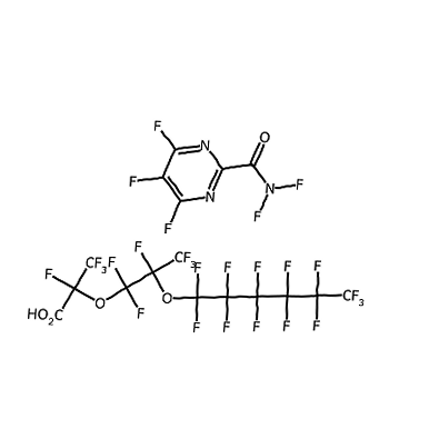 O=C(O)C(F)(OC(F)(F)C(F)(OC(F)(F)C(F)(F)C(F)(F)C(F)(F)C(F)(F)C(F)(F)F)C(F)(F)F)C(F)(F)F.O=C(c1nc(F)c(F)c(F)n1)N(F)F